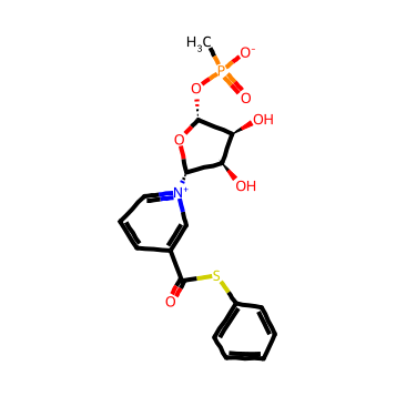 CP(=O)([O-])O[C@H]1O[C@@H]([n+]2cccc(C(=O)Sc3ccccc3)c2)[C@H](O)[C@@H]1O